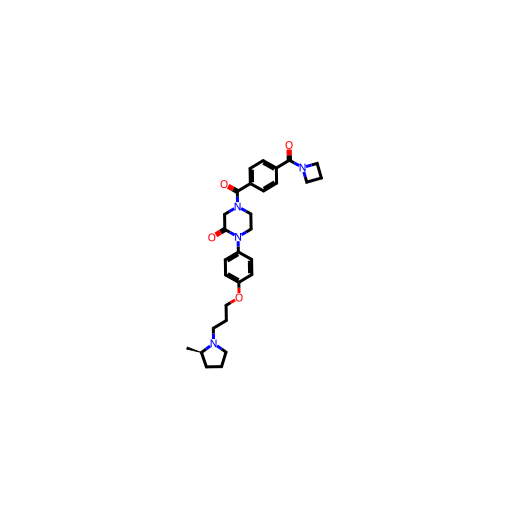 C[C@@H]1CCCN1CCCOc1ccc(N2CCN(C(=O)c3ccc(C(=O)N4CCC4)cc3)CC2=O)cc1